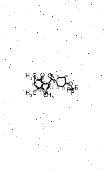 Cc1cn(C)c(=O)c2c(C(=O)N3CCC(OC(F)(F)F)CC3)cn(C)c12